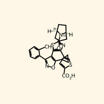 Cc1ccccc1-c1noc(C2CC2)c1CO[C@H]1C[C@H]2CC[C@@H](C1)N2c1nc(-c2csc(C(=O)O)c2)cs1